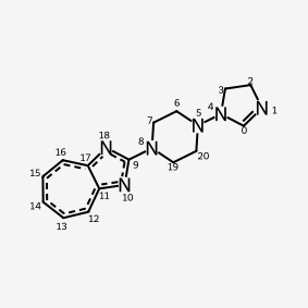 C1=NCCN1N1CCN(c2nc3cccccc-3n2)CC1